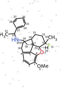 COc1ccc2c3c1O[C@@H]1C(C)(F)CCC(CC2)[C@]31CCNC(C)c1ccccc1